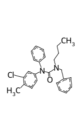 CCCCN(Cc1ccccc1)C(=O)N(c1ccccc1)c1ccc(C)c(Cl)c1